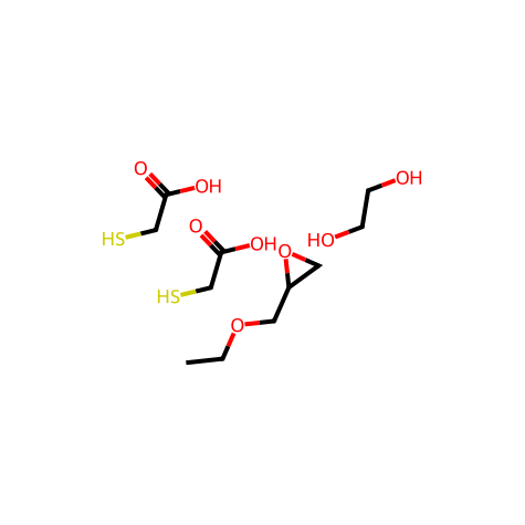 CCOCC1CO1.O=C(O)CS.O=C(O)CS.OCCO